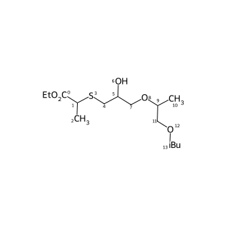 CCOC(=O)C(C)SCC(O)COC(C)COC(C)CC